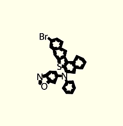 Brc1ccc2cc3c(cc2c1)sc1c(N(c2ccccc2)c2ccc4ncoc4c2)cc2ccccc2c13